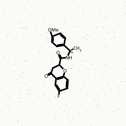 COc1ccc([C@@H](C)NC(=O)C2CC(=O)c3cc(F)ccc3O2)cc1